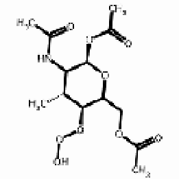 CC(=O)NC1[C@@H](OC(C)=O)OC(COC(C)=O)[C@@H](OOO)[C@@H]1C